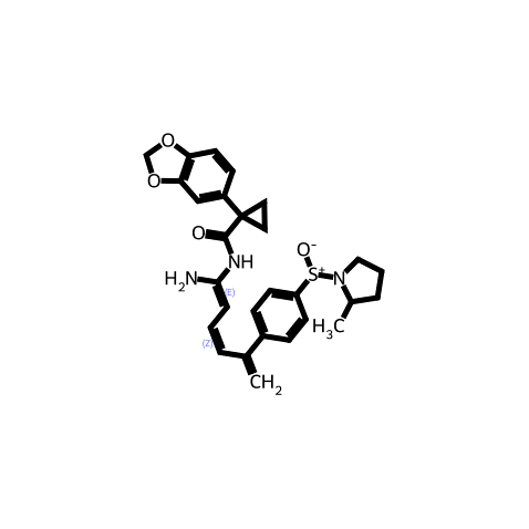 C=C(/C=C\C=C(/N)NC(=O)C1(c2ccc3c(c2)OCO3)CC1)c1ccc([S+]([O-])N2CCCC2C)cc1